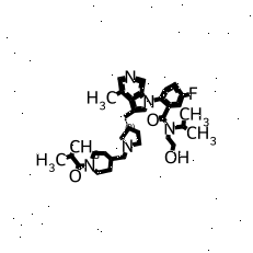 Cc1cncc2c1c(C[C@@H]1CCN(CC3CCN(C(=O)C(C)C)CC3)C1)cn2-c1ccc(F)cc1C(=O)N(CCO)C(C)C